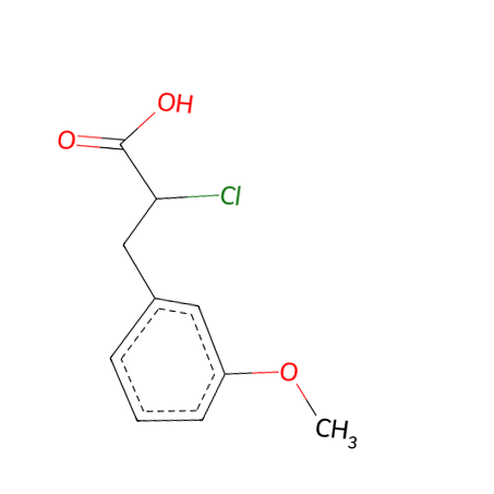 COc1cccc(CC(Cl)C(=O)O)c1